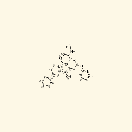 O=C(NO)C1C[C@H](Oc2ccccn2)CN(C(=O)O)C1C(=O)N1CCN(c2ccccc2)CC1